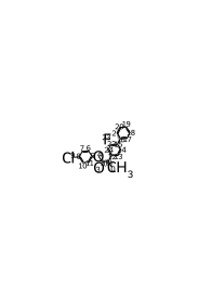 C[C@@H](C(=O)Oc1ccc(Cl)cc1)c1ccc(-c2ccccc2)c(F)c1